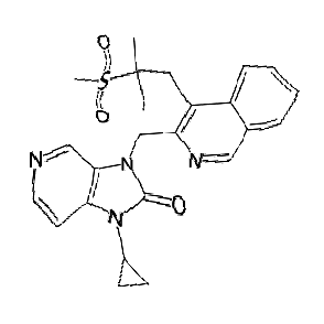 CC(C)(Cc1c(Cn2c(=O)n(C3CC3)c3ccncc32)ncc2ccccc12)S(C)(=O)=O